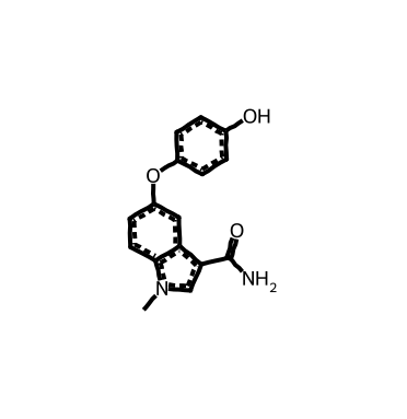 Cn1cc(C(N)=O)c2cc(Oc3ccc(O)cc3)ccc21